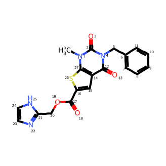 Cn1c(=O)n(Cc2ccccc2)c(=O)c2cc(C(=O)OCc3ncc[nH]3)sc21